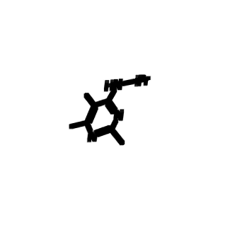 Cc1nc(C)c(C)c(NC(C)C)n1